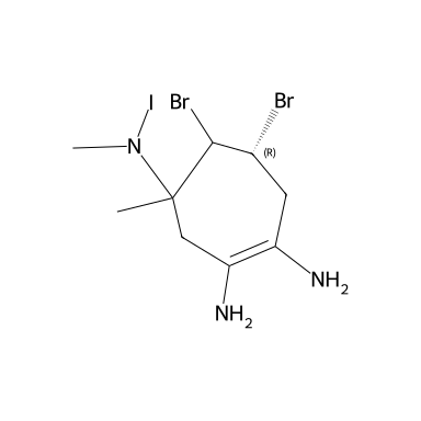 CN(I)C1(C)CC(N)=C(N)C[C@@H](Br)C1Br